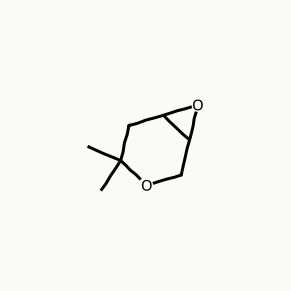 CC1(C)CC2OC2CO1